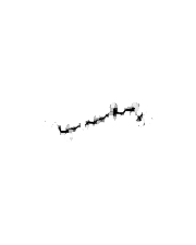 CC(=O)CCC(=O)OCCOCCOCCOC(=O)CCC(=O)OC(C)OC(C)=O